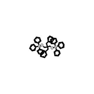 c1ccc(CC(CO[Si](c2ccccc2)(c2ccccc2)c2ccccc2)(CO[Si](c2ccccc2)(c2ccccc2)c2ccccc2)Cc2ccccc2)cc1